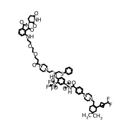 CC1(C)CCC(CN2CCN(c3ccc(C(=O)NS(=O)(=O)c4ccc(N[C@H](CCN5CCN(C(=O)CCOCCOCCNc6cccc7c6C(=O)N(C6CCC(=O)NC6=O)C7=O)CC5)CSc5ccccc5)c(S(=O)(=O)C(F)(F)F)c4)cc3)CC2)=C(C23CC(C(F)F)(C2)C3)C1